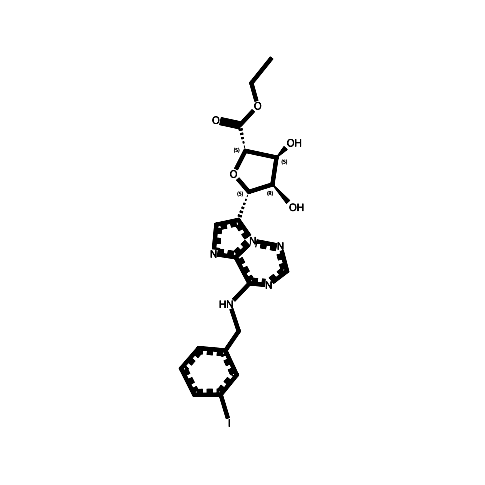 CCOC(=O)[C@H]1O[C@@H](c2cnc3c(NCc4cccc(I)c4)ncnn23)[C@H](O)[C@@H]1O